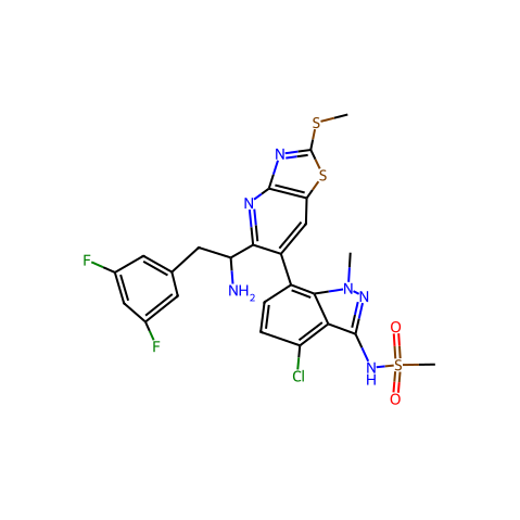 CSc1nc2nc(C(N)Cc3cc(F)cc(F)c3)c(-c3ccc(Cl)c4c(NS(C)(=O)=O)nn(C)c34)cc2s1